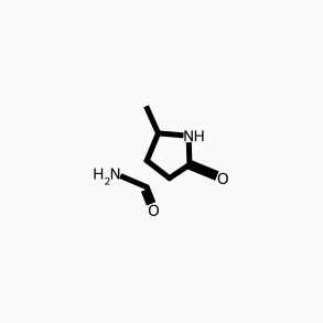 CC1CCC(=O)N1.NC=O